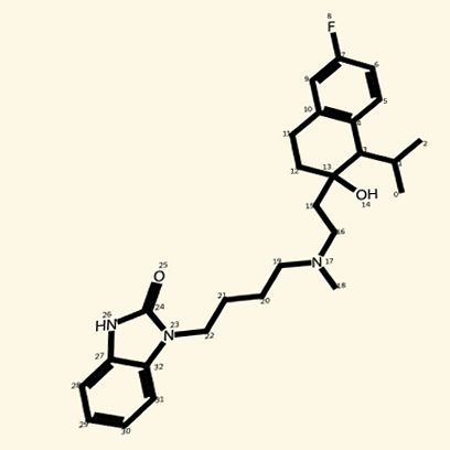 CC(C)C1c2ccc(F)cc2CCC1(O)CCN(C)CCCCn1c(=O)[nH]c2ccccc21